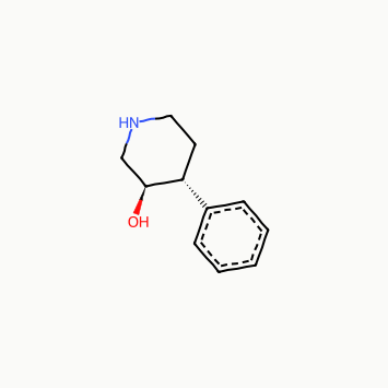 O[C@H]1CNCC[C@@H]1c1ccccc1